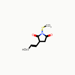 CCCCCCCC/C=C/C1CC(=O)N(SC(Cl)(Cl)Cl)C1=O